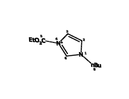 CCCCn1cc[n+](C(=O)OCC)c1